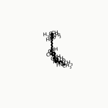 CN(C)c1nc(F)c(-c2cnc(C(=O)Nc3ccc(C(=O)NCCCCCCNC(=O)OC(C)(C)C)c(Cl)c3)n2C)cc1F